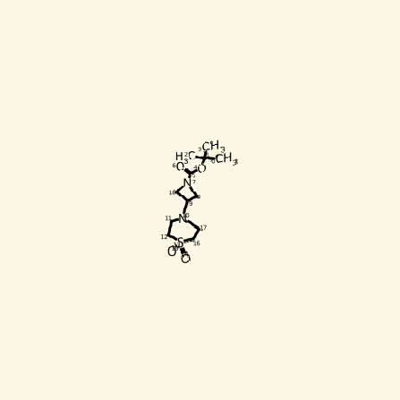 CC(C)(C)OC(=O)N1CC(N2CCS(=O)(=O)CC2)C1